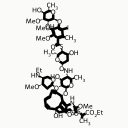 CCN[C@H]1CO[C@@H](O[C@H]2[C@H](O[C@H]3C#C/C=C/C#C[C@]4(O)CC(=O)C(NC(=O)OC)=C3/C4=C\CSSC(C)C(=O)OCC)O[C@H](C)[C@@H](NO[C@H]3C[C@H](O)[C@H](SC(=O)c4c(C)c(I)c(O[C@@H]5O[C@@H](C)[C@H](O)[C@@H](OC)[C@H]5O)c(OC)c4OC)[C@@H](C)O3)[C@@H]2O)C[C@@H]1OC